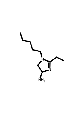 CCCCCN1CC(N)N=C1CC